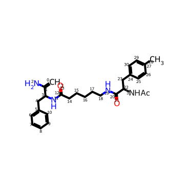 C=C(N)C(Cc1ccccc1)NC(=O)CCCCCNC(=O)C(Cc1ccc(C)cc1)NC(C)=O